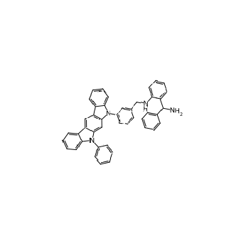 NC(c1ccccc1)c1ccccc1NCc1cccc(-n2c3ccccc3c3cc4c5ccccc5n(-c5ccccc5)c4cc32)c1